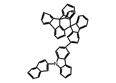 c1ccc(C23c4ccccc4-c4cccc(c42)C2(c4ccccc4-c4ccc(-c5ccc6c(c5)c5ccccc5n6-c5ccc6ccccc6c5)cc42)c2ccccc23)cc1